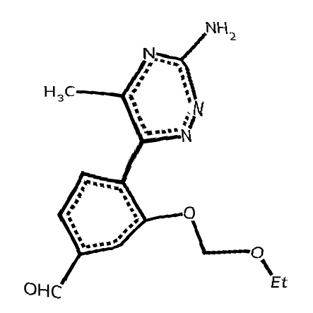 CCOCOc1cc(C=O)ccc1-c1nnc(N)nc1C